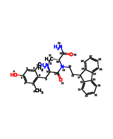 Cc1cc(O)cc(C)c1C[C@@H](N)C(=O)N(CCC1c2ccccc2-c2ccccc21)[C@H](C)C(N)=O